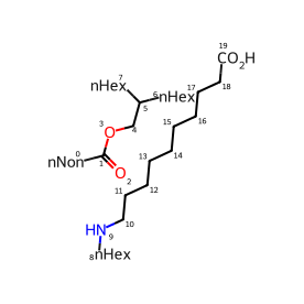 CCCCCCCCCC(=O)OCC(CCCCCC)CCCCCC.CCCCCCNCCCCCCCCCC(=O)O